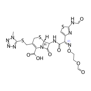 Cn1nnnc1SCC1=C(C(=O)O)N2C(=O)C(NC(=O)/C(=N\OCCOC=O)c3csc(NC=O)n3)[C@H]2SC1